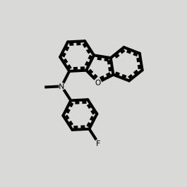 CN(c1ccc(F)cc1)c1cccc2c1oc1ccccc12